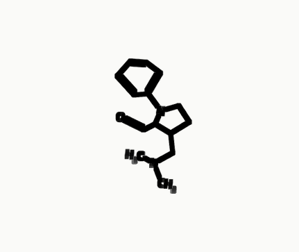 CN(C)CC1CCN(c2ccccc2)C1C=O